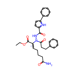 CCOC(=O)/C(=C/CCCC(N)=O)N(NC(=O)c1ccc(-c2ccccc2)[nH]1)C(=O)CCc1ccccc1